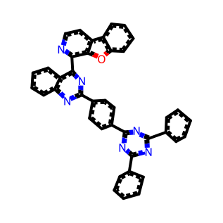 c1ccc(-c2nc(-c3ccccc3)nc(-c3ccc(-c4nc(-c5nccc6c5oc5ccccc56)c5ccccc5n4)cc3)n2)cc1